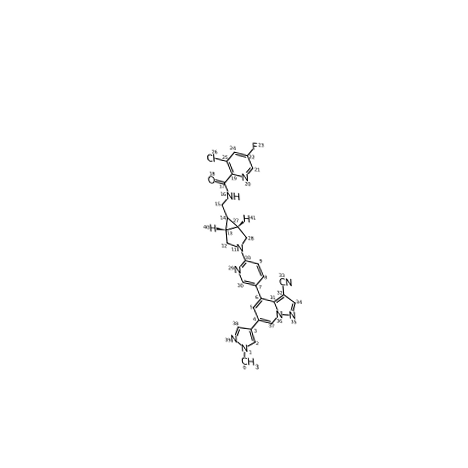 Cn1cc(-c2cc(-c3ccc(N4C[C@@H]5C(CNC(=O)c6ncc(F)cc6Cl)[C@@H]5C4)nc3)c3c(C#N)cnn3c2)cn1